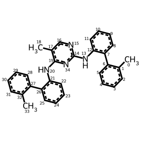 Cc1ccccc1-c1ccccc1Nc1ncc(C)c(Nc2ccccc2-c2ccccc2C)n1